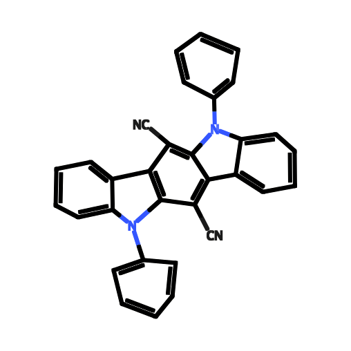 N#Cc1c2c3ccccc3n(-c3ccccc3)c2c(C#N)c2c3ccccc3n(-c3ccccc3)c12